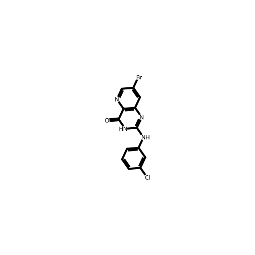 O=c1[nH]c(Nc2cccc(Cl)c2)nc2cc(Br)cnc12